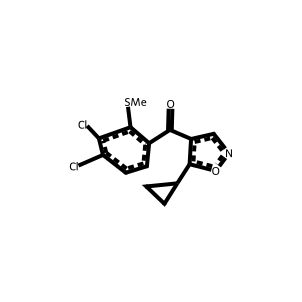 CSc1c(C(=O)c2cnoc2C2CC2)ccc(Cl)c1Cl